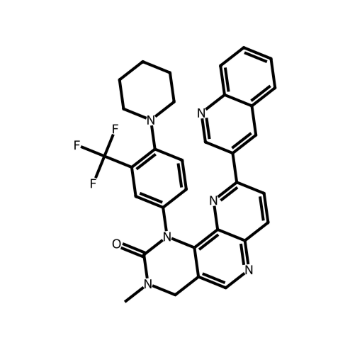 CN1Cc2cnc3ccc(-c4cnc5ccccc5c4)nc3c2N(c2ccc(N3CCCCC3)c(C(F)(F)F)c2)C1=O